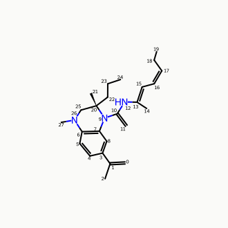 C=C(C)c1ccc2c(c1)N(C(=C)N/C(C)=C/C=C\CC)[C@@](C)(CCC)CN2C